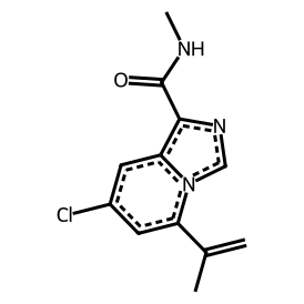 C=C(C)c1cc(Cl)cc2c(C(=O)NC)ncn12